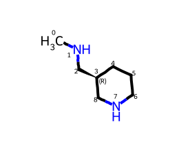 CNC[C@H]1CCCNC1